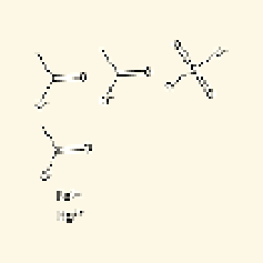 CC(=O)[O-].CC(=O)[O-].CC(=O)[O-].O=S(=O)([O-])[O-].[Fe+3].[Hg+2]